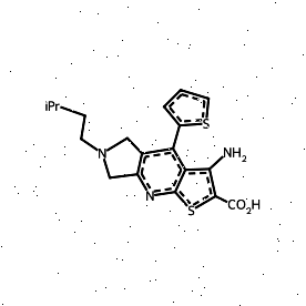 CC(C)CCN1Cc2nc3sc(C(=O)O)c(N)c3c(-c3cccs3)c2C1